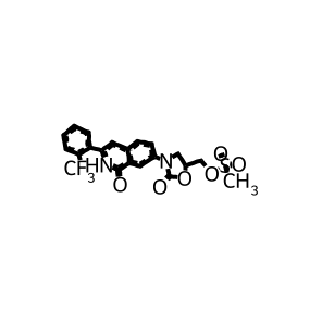 CS(=O)(=O)OCC1CN(c2ccc3cc(-c4ccccc4C(F)(F)F)[nH]c(=O)c3c2)C(=O)O1